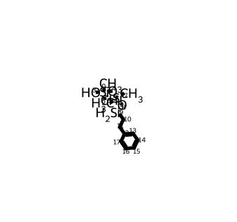 C[Si](C)(O)O[Si](C)(C)O[SiH2]CCc1ccccc1